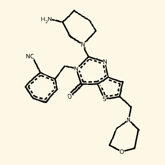 N#Cc1ccccc1Cn1c(N2CCCC(N)C2)nc2cc(CN3CCOCC3)sc2c1=O